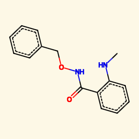 CNc1ccccc1C(=O)NOCc1ccccc1